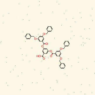 O=C(O)c1cc(OC(=O)c2cc(OCc3ccccc3)cc(OCc3ccccc3)c2)cc(OC(=O)c2cc(OCc3ccccc3)cc(OCc3ccccc3)c2)c1